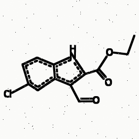 CCOC(=O)c1[nH]c2ccc(Cl)cc2c1C=O